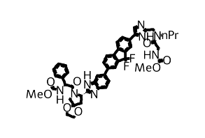 CCCN(Cc1ncc(-c2ccc3c(c2)C(F)(F)c2cc(-c4ccc5nc([C@@H]6CC7(CN6C(=O)[C@H](NC(=O)OC)c6ccccc6)OCCO7)[nH]c5c4)ccc2-3)[nH]1)C(=O)CNC(=O)OC